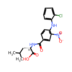 CC(C)C[C@H](NC(=O)c1ccc(Nc2ccccc2Cl)c([N+](=O)[O-])c1)C(=O)O